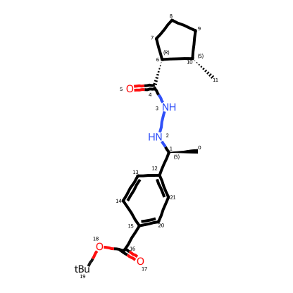 C[C@H](NNC(=O)[C@@H]1CCC[C@@H]1C)c1ccc(C(=O)OC(C)(C)C)cc1